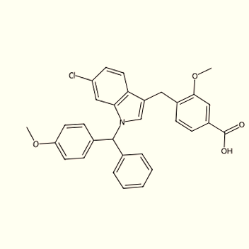 COc1ccc(C(c2ccccc2)n2cc(Cc3ccc(C(=O)O)cc3OC)c3ccc(Cl)cc32)cc1